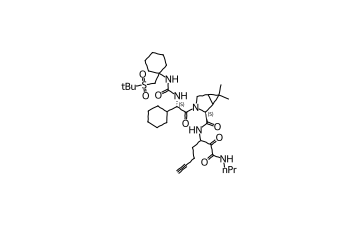 C#CCCC(NC(=O)[C@@H]1C2C(CN1C(=O)[C@@H](NC(=O)NC1(CS(=O)(=O)C(C)(C)C)CCCCC1)C1CCCCC1)C2(C)C)C(=O)C(=O)NCCC